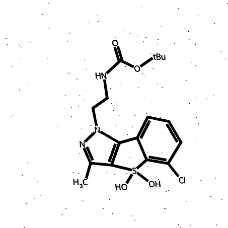 Cc1nn(CCNC(=O)OC(C)(C)C)c2c1S(O)(O)c1c(Cl)cccc1-2